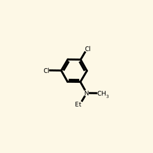 CCN(C)c1cc(Cl)cc(Cl)c1